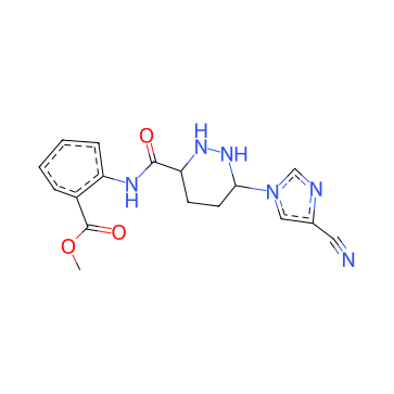 COC(=O)c1ccccc1NC(=O)C1CCC(n2cnc(C#N)c2)NN1